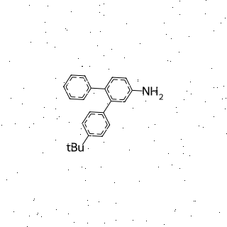 CC(C)(C)c1ccc(-c2cc(N)ccc2-c2ccccc2)cc1